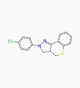 Clc1ccc(N2CC3CSc4ccccc4C3=N2)cc1